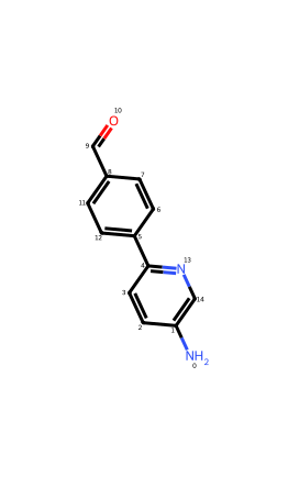 Nc1ccc(-c2ccc(C=O)cc2)nc1